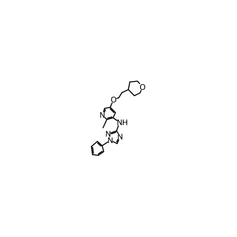 Cc1ncc(OCCC2CCOCC2)cc1Nc1ncn(-c2ccccc2)n1